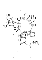 CC[C@H]1OC(=O)[C@H](C)[C@@H](O[C@H]2C[C@@](C)(OC)C(CO)[C@H](C)O2)[C@H](C)[C@@H](O[C@@H]2O[C@H](C)C(CC(C)CN)C[C@H]2Oc2ccccc2)[C@](C)(O)C[C@@H](C)CN[C@H](C)[C@@H](O)[C@]1(C)O